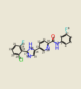 O=C(Nc1cccc(F)c1)c1ccc(-c2cnc(-c3c(F)cccc3Cl)[nH]2)cn1